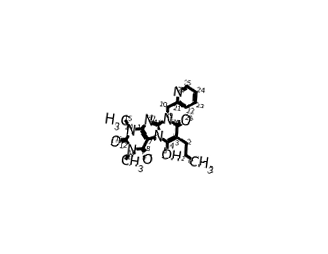 CCCc1c(O)n2c3c(=O)n(C)c(=O)n(C)c3nc2n(Cc2ccccn2)c1=O